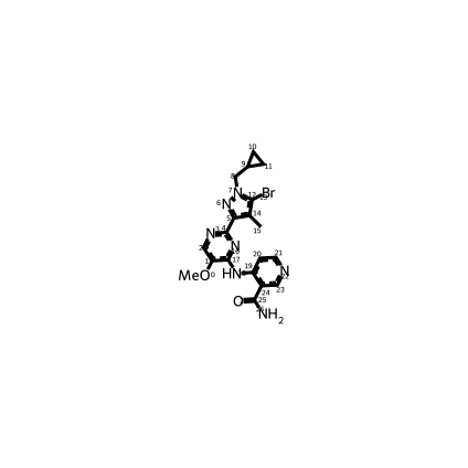 COc1cnc(-c2nn(CC3CC3)c(Br)c2C)nc1Nc1ccncc1C(N)=O